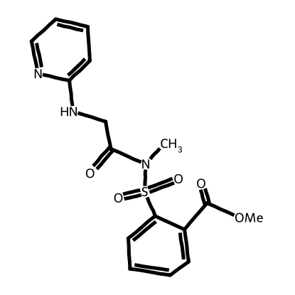 COC(=O)c1ccccc1S(=O)(=O)N(C)C(=O)CNc1ccccn1